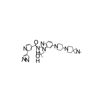 CN1CC2(CCN(C3CCN(c4ccc5nc(NC(=O)c6ccnc(-c7cnn(C)c7)c6)n(CC(C)(C)O)c5c4)CC3)CC2)C1